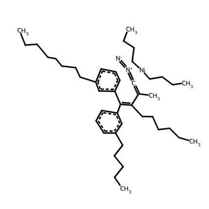 CCCCCCCCc1cccc(C(=C(CCCCCC)C(C)=C=[N+]=[N-])c2cccc(CCCCC)c2)c1.CCC[CH2][Ni][CH2]CCC